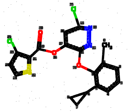 Cc1cccc(C2CC2)c1Oc1nnc(Cl)cc1OC(=O)c1sccc1Cl